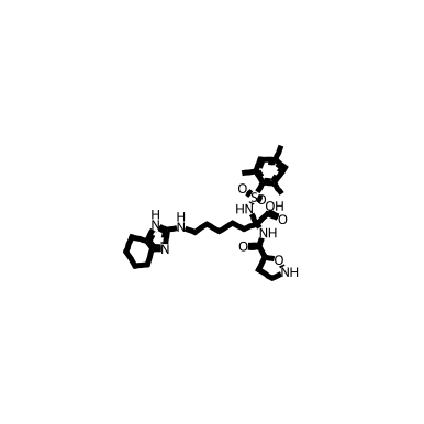 Cc1cc(C)c(S(=O)(=O)NC(CCCCCNc2nc3c([nH]2)CCCC3)(NC(=O)C2CCNO2)C(=O)O)c(C)c1